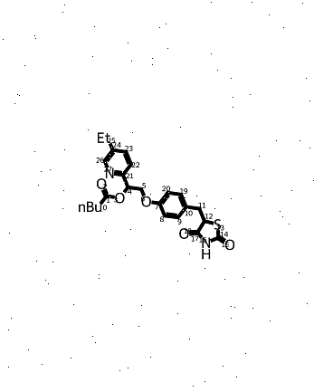 CCCCC(=O)OC(COc1ccc(CC2SC(=O)NC2=O)cc1)c1ccc(CC)cn1